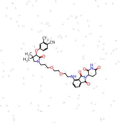 CC1(C)CN(CCCOCCOCCNc2cccc3c2C(=O)N(C2CCC(=O)NC2=O)C3=O)C(=O)C1Oc1ccc(C#N)c(C(F)(F)F)c1